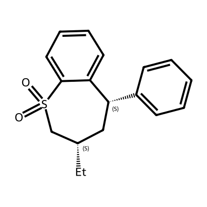 CC[C@H]1C[C@@H](c2ccccc2)c2ccccc2S(=O)(=O)C1